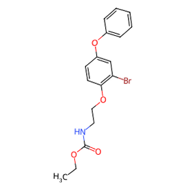 CCOC(=O)NCCOc1ccc(Oc2ccccc2)cc1Br